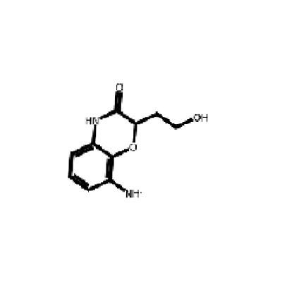 [NH]c1cccc2c1OC(CCO)C(=O)N2